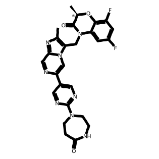 Cc1nc2cnc(-c3cnc(N4CCNC(=O)CC4)nc3)cn2c1CN1C(=O)[C@@H](C)Oc2c(F)cc(F)cc21